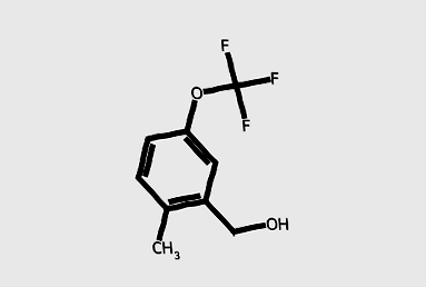 Cc1ccc(OC(F)(F)F)cc1[CH]O